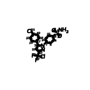 NS(=O)(=O)c1ccc(-n2nc(C(F)(F)Cl)cc2-c2ccc(Cl)cc2)cc1